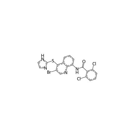 O=C(Nc1cccc2c(Sc3ncc[nH]3)c(Br)cnc12)c1c(Cl)cccc1Cl